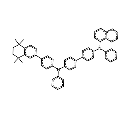 CC1(C)CCC(C)(C)c2cc(-c3ccc(N(c4ccccc4)c4ccc(-c5ccc(N(c6ccccc6)c6cccc7ccccc67)cc5)cc4)cc3)ccc21